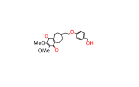 COC1=C(OC)C(=O)C2=C(CCC(CCOc3ccc(CO)cc3)CC2)C1=O